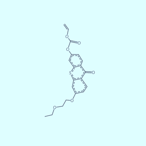 C=COC(=O)Oc1ccc2c(=O)c3ccc(OCCOCC)cc3sc2c1